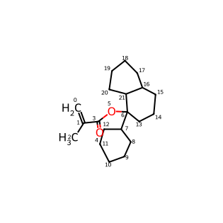 C=C(C)C(=O)OC1(C2CCCCC2)CCCC2CCCCC21